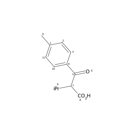 Cc1ccc(C(=O)C(C(=O)O)C(C)C)cc1